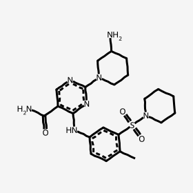 Cc1ccc(Nc2nc(N3CCCC(N)C3)ncc2C(N)=O)cc1S(=O)(=O)N1CCCCC1